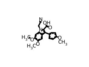 COc1ccc(-c2c(C(=O)O)n(CC#N)c3cc(OC)c(OC)cc23)cc1